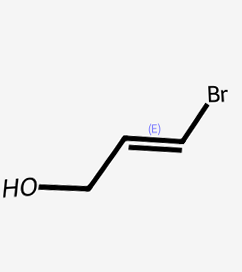 OC/C=C/Br